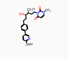 COc1ccc(-c2ccc(CC[C@@H](O)[C@H](CCn3c(=O)ccn(C)c3=O)C(=O)O)cc2)cn1